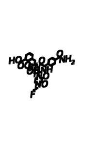 NC(=O)c1ccc(C(NC(=O)N2CCN(CCF)C(=O)C2=O)C(=O)N[C@H]2Cc3cccc(C(=O)O)c3OB2O)cc1